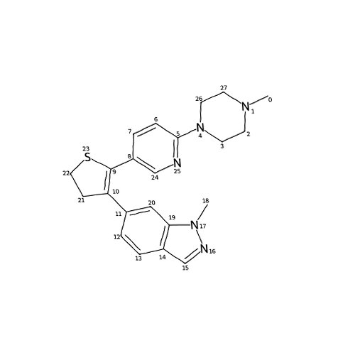 CN1CCN(c2ccc(C3=C(c4ccc5cnn(C)c5c4)CCS3)cn2)CC1